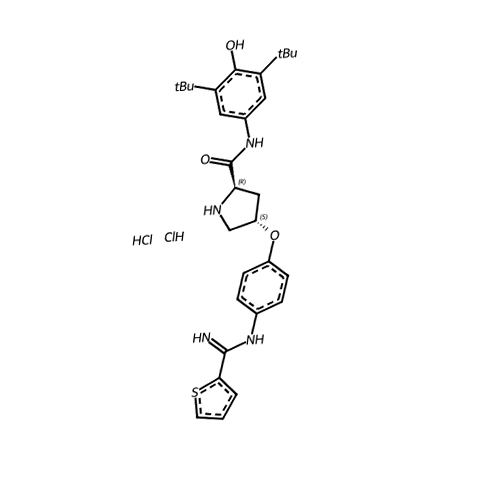 CC(C)(C)c1cc(NC(=O)[C@H]2C[C@H](Oc3ccc(NC(=N)c4cccs4)cc3)CN2)cc(C(C)(C)C)c1O.Cl.Cl